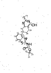 CSc1nc(O)c2c(n1)CC(c1cccc3sc(NC(=O)OC(C)(C)C)nc13)CC2